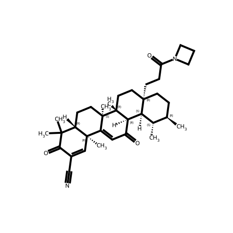 C[C@@H]1[C@H]2[C@H]3C(=O)C=C4[C@@]5(C)C=C(C#N)C(=O)C(C)(C)[C@@H]5CC[C@@]4(C)[C@]3(C)CC[C@@]2(CCC(=O)N2CCC2)CC[C@H]1C